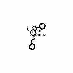 CC(=O)N[C@@H]1[C@@H](OCc2ccccc2)O[C@H](CI)[C@@H](O)[C@@]1(O)Cc1ccccc1